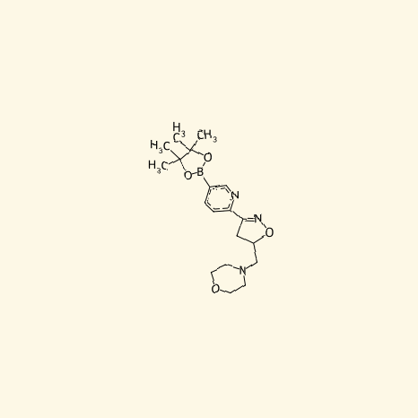 CC1(C)OB(c2ccc(C3=NOC(CN4CCOCC4)C3)nc2)OC1(C)C